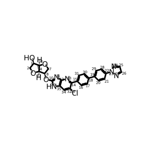 O[C@@H]1CO[C@H]2[C@@H]1OC[C@H]2Oc1nc2nc(-c3ccc(-c4ccc(-n5nccn5)cc4)cc3)c(Cl)cc2[nH]1